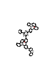 c1ccc(-c2nc(-c3ccc(-c4cc(-c5ccc6oc7ccccc7c6c5)ccc4-n4c5ccccc5c5ccccc54)cc3)nc(-c3ccc(-c4ccccc4)c(-n4c5ccccc5c5ccccc54)c3)n2)cc1